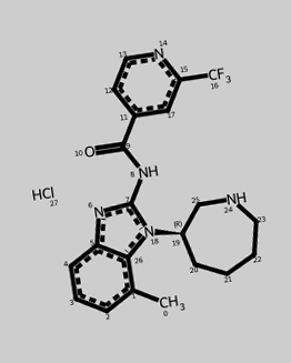 Cc1cccc2nc(NC(=O)c3ccnc(C(F)(F)F)c3)n([C@@H]3CCCCNC3)c12.Cl